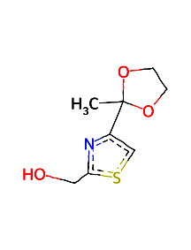 CC1(c2csc(CO)n2)OCCO1